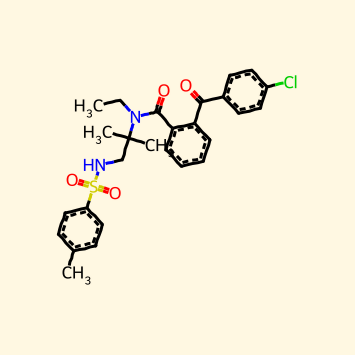 CCN(C(=O)c1ccccc1C(=O)c1ccc(Cl)cc1)C(C)(C)CNS(=O)(=O)c1ccc(C)cc1